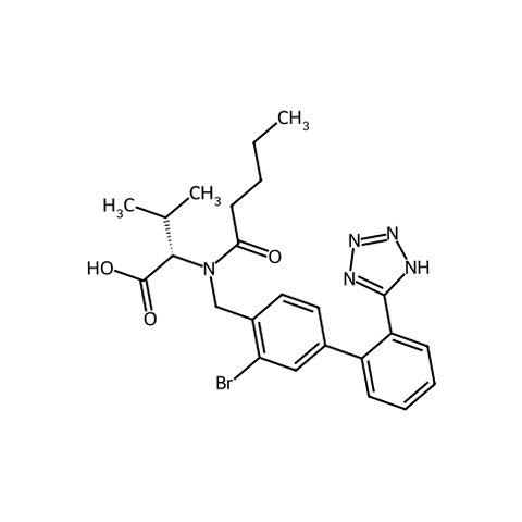 CCCCC(=O)N(Cc1ccc(-c2ccccc2-c2nnn[nH]2)cc1Br)[C@H](C(=O)O)C(C)C